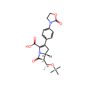 C[C@@H](O[Si](C)(C)C)[C@H]1C(=O)N2C(C(=O)O)=C(c3ccc(N4CCOC4=O)cc3)C[C@H]12